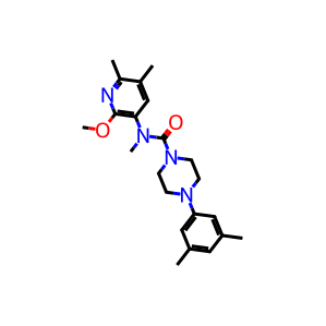 COc1nc(C)c(C)cc1N(C)C(=O)N1CCN(c2cc(C)cc(C)c2)CC1